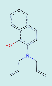 C=CCN(CC=C)c1ccc2ccccc2c1O